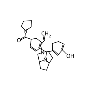 C=CCN1CCC2CCC(C1)N2C(C1=CCC(C(=O)N2CCCC2)C=C1)C1=CC(O)=CCC1